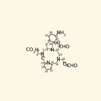 Nc1ccc(CC2CN(CC(=O)O)Cc3cccc(n3)CN(COC=O)CCN2COC=O)cc1